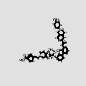 Cn1c(C(=O)Nc2cccc(-c3cccc(C=C(F)c4cc5c(cn4)CN(C4CCC(O)CC4)CC5)c3Cl)c2Cl)nc2c1CCN(CCC13CCC(C(=O)O)(CC1)C3)C2